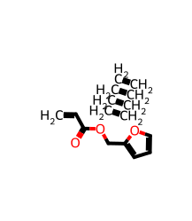 C=C.C=C.C=C.C=C.C=CC(=O)OCc1ccco1